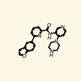 O=C(Nc1cnccc1N1CCNCC1)c1cccc(-c2ccc3occc3c2)n1